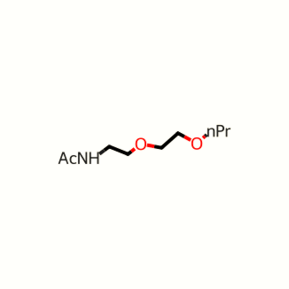 CCCOCCOCCNC(C)=O